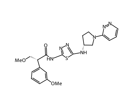 COC[C@H](C(=O)Nc1nnc(N[C@@H]2CCN(c3cccnn3)C2)s1)c1cccc(OC)c1